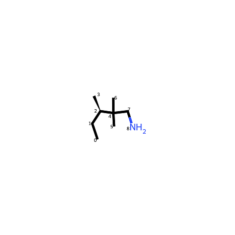 CC[C@@H](C)C(C)(C)CN